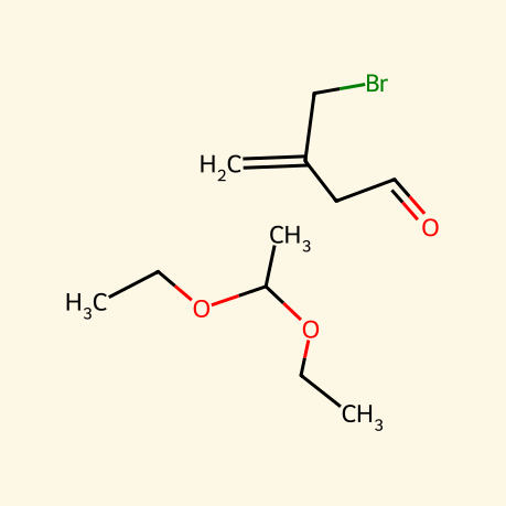 C=C(CBr)CC=O.CCOC(C)OCC